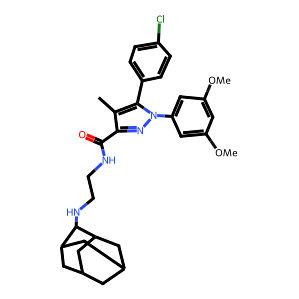 COc1cc(OC)cc(-n2nc(C(=O)NCCNC3C4CC5CC(C4)CC3C5)c(C)c2-c2ccc(Cl)cc2)c1